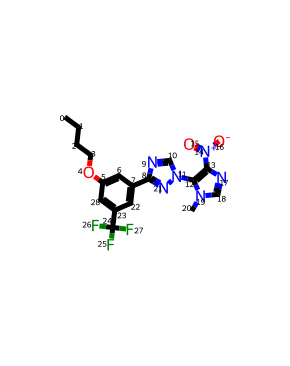 CCCCOc1cc(-c2ncn(-c3c([N+](=O)[O-])ncn3C)n2)cc(C(F)(F)F)c1